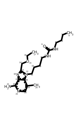 CCCCNC(=O)NCCCCn1c(COCC)nc2c(N)ncc(C)c21